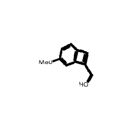 COc1ccc2c(c1)C(CO)=C2